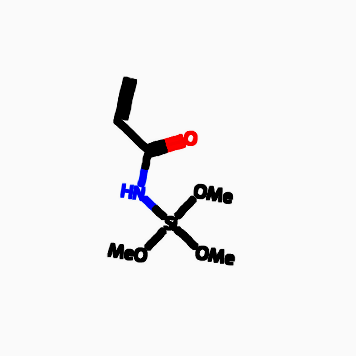 C=CC(=O)N[Si](OC)(OC)OC